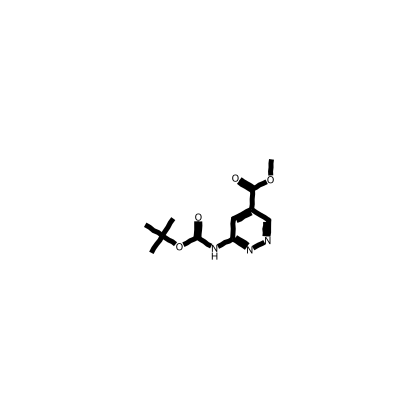 COC(=O)c1cnnc(NC(=O)OC(C)(C)C)c1